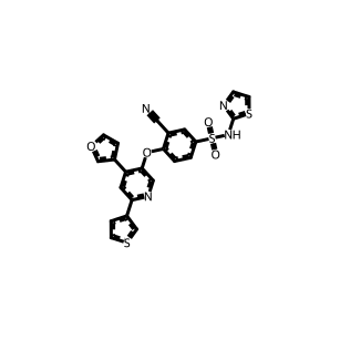 N#Cc1cc(S(=O)(=O)Nc2nccs2)ccc1Oc1cnc(-c2ccsc2)cc1-c1ccoc1